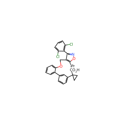 CC(C)c1onc(-c2c(Cl)cccc2Cl)c1COc1ccccc1-c1cccc(C2(C(=O)O)CC2)c1